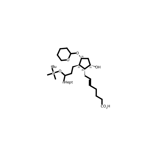 CCCCCCCC(CC[C@@H]1[C@@H](CC=CCCCC(=O)O)[C@@H](O)C[C@H]1OC1CCCCO1)O[Si](C)(C)C(C)(C)C